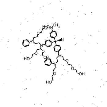 CCOC(COCCO)N(CCN(CCOCCO)c1ccccc1)c1ccc(C(C#N)(c2ccc(N(C)C)cc2)c2ccc(N(CCOCCOCCO)CCN(CCOCCO)c3ccccc3)cc2)cc1